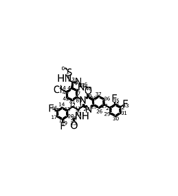 CSNc1nn(C)c2c(-n3c(C(Cc4cc(F)cc(F)c4)NC=O)nc4cc(-c5cccc(F)c5F)ccc4c3=O)ccc(Cl)c12